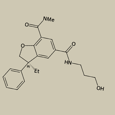 CC[C@]1(c2ccccc2)COc2c(C(=O)NC)cc(C(=O)NCCCO)cc21